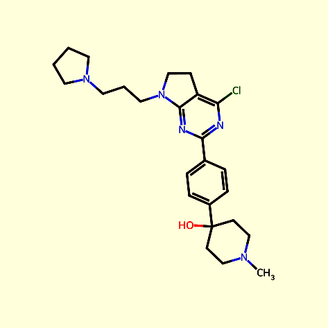 CN1CCC(O)(c2ccc(-c3nc(Cl)c4c(n3)N(CCCN3CCCC3)CC4)cc2)CC1